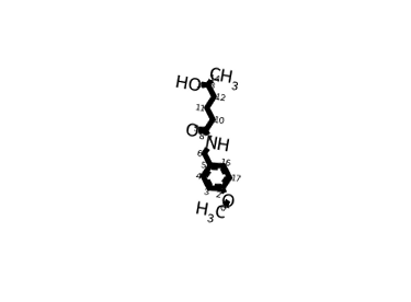 COc1ccc(CNC(=O)CCCC(C)O)cc1